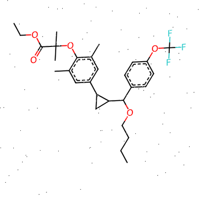 CCCCOC(c1ccc(OC(F)(F)F)cc1)C1CC1c1cc(C)c(OC(C)(C)C(=O)OCC)c(C)c1